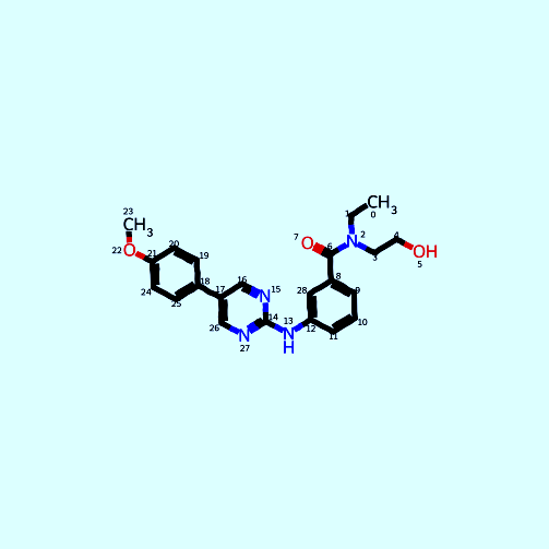 CCN(CCO)C(=O)c1cccc(Nc2ncc(-c3ccc(OC)cc3)cn2)c1